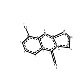 O=c1c2cccc(Cl)c2nc2sccn12